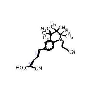 CC1(C)c2cc(/C=C/C=C(\C#N)C(=O)O)ccc2N(CCC#N)C(C)(C)C1(C)C